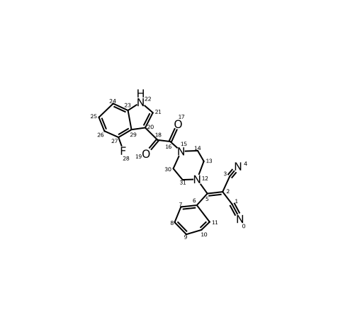 N#CC(C#N)=C(c1ccccc1)N1CCN(C(=O)C(=O)c2c[nH]c3cccc(F)c23)CC1